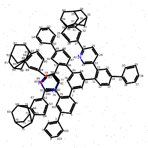 c1ccc(-c2ccc(-c3cc(-c4ccc(-c5ccccc5)cc4-c4ccc(-c5ccc6c(c5)C5CC7CC(CC6C7)C5)nc4)cc(-c4ccc(-c5ccccc5)cc4-c4ccc(-c5ccc6c(c5)C5CC7CC(C5)C6C7)nc4)c3)c(-c3ccc(-c4ccc5c(c4)C4CC6CC(CC5C6)C4)nc3)c2)cc1